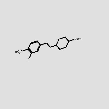 CCCCCCC1CCC(CCc2ccc(C(=O)O)c(F)c2)CC1